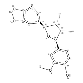 COc1cc([C@H]2O[C@@H](c3ccc4c(c3)OCO4)[C@H](C)[C@@H]2C)ccc1O